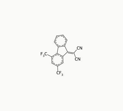 N#CC(C#N)=C1c2ccccc2-c2c1cc(C(F)(F)F)cc2C(F)(F)F